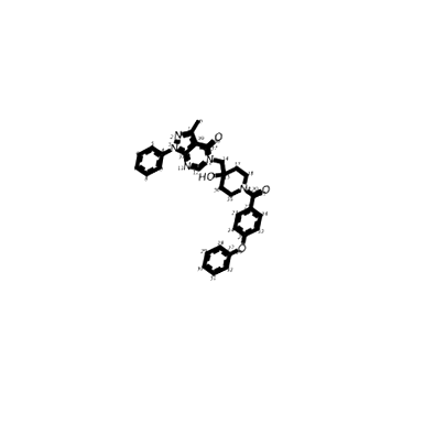 Cc1nn(-c2ccccc2)c2ncn(CC3(O)CCN(C(=O)c4ccc(Oc5ccccc5)cc4)CC3)c(=O)c12